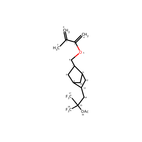 C=C(C)C(=C)OCC1CC2CC1CC2CC(OC(C)=O)(C(F)(F)F)C(F)(F)F